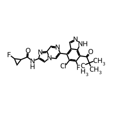 CC(C)(C)C(=O)c1c(F)c(Cl)c(-c2cn3cc(NC(=O)C4CC4F)nc3cn2)c2cn[nH]c12